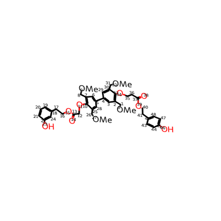 COCc1cc(-c2cc(COC)c(OCC(=O)OCCc3cccc(O)c3)c(COC)c2)cc(COC)c1OCCC(=O)OCCc1ccc(O)cc1